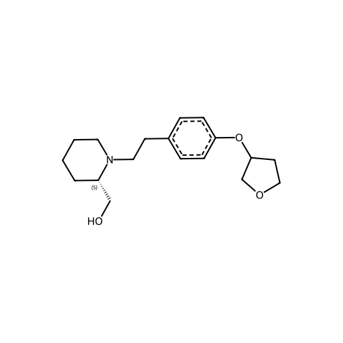 OC[C@@H]1CCCCN1CCc1ccc(OC2CCOC2)cc1